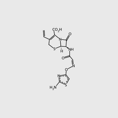 C=CC1=C(C(=O)O)N2C(=O)[C@@H](NC(=O)/C=N\Oc3csc(N)n3)[C@H]2SC1